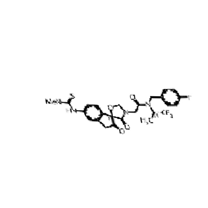 CNC(=S)Nc1ccc2c(c1)CC(=O)[C@]21OCN(CC(=O)N(Cc2ccc(F)cc2)[C@@H](C)C(F)(F)F)C1=O